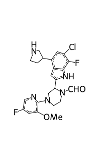 COc1cc(F)cnc1N1CCN(C=O)C(c2cc3c(C4CCNC4)cc(Cl)c(F)c3[nH]2)C1